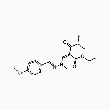 CCOC(=O)C(=CN(C)N=Cc1ccc(OC)cc1)C(=O)C(F)F